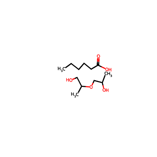 CC(O)COC(C)CO.CCCCCC(=O)O